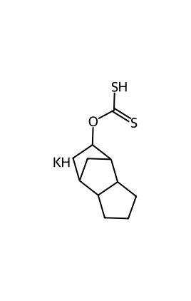 S=C(S)OC1CC2CC1C1CCCC21.[KH]